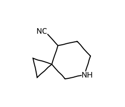 N#CC1CCNCC12CC2